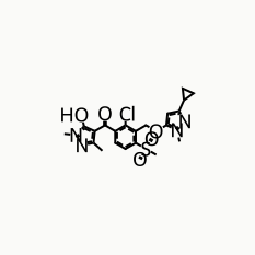 Cc1nn(C)c(O)c1C(=O)c1ccc(S(C)(=O)=O)c(COc2cc(C3CC3)nn2C)c1Cl